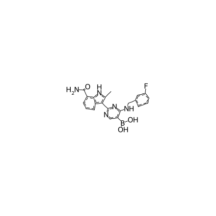 Cc1[nH]c2c(C(N)=O)cccc2c1-c1ncc(B(O)O)c(NCc2cccc(F)c2)n1